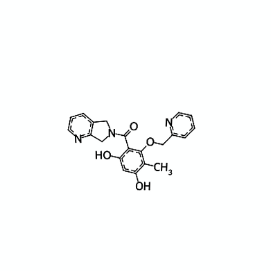 Cc1c(O)cc(O)c(C(=O)N2Cc3cccnc3C2)c1OCc1ccccn1